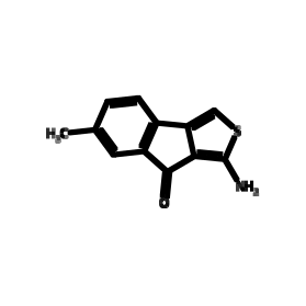 Cc1ccc2c(c1)C(=O)c1c-2csc1N